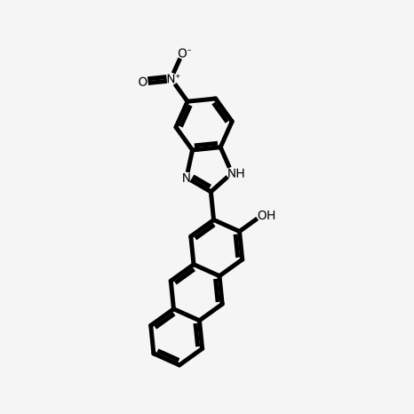 O=[N+]([O-])c1ccc2[nH]c(-c3cc4cc5ccccc5cc4cc3O)nc2c1